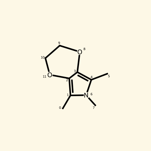 Cc1c2c(c(C)n1C)OCCO2